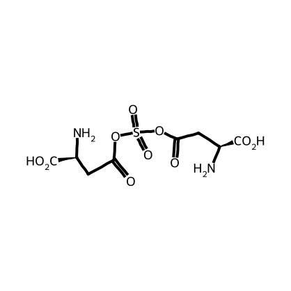 N[C@@H](CC(=O)OS(=O)(=O)OC(=O)C[C@H](N)C(=O)O)C(=O)O